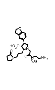 CCCCN(CCN)C(=O)CN1C[C@H](c2ccc3c(c2)CCO3)[C@@H](C(=O)O)[C@@H]1CCCN1CCCC1=O